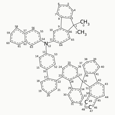 CC1(C)c2ccccc2-c2cc(N(c3ccc(-c4ccccc4-c4cccc5c4-c4ccccc4C54c5ccccc5-c5ccc6ccccc6c54)cc3)c3ccc4ccccc4c3)ccc21